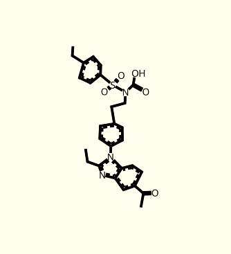 CCc1ccc(S(=O)(=O)N(CCc2ccc(-n3c(CC)nc4cc(C(C)=O)ccc43)cc2)C(=O)O)cc1